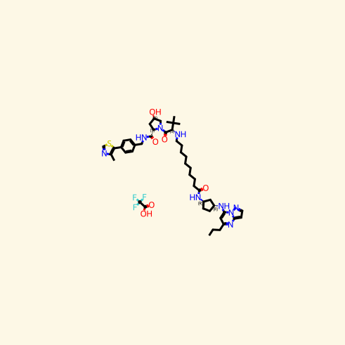 CCCc1cc(N[C@@H]2CC[C@@H](NC(=O)CCCCCCCCCN[C@H](C(=O)N3C[C@H](O)C[C@H]3C(=O)NCc3ccc(-c4scnc4C)cc3)C(C)(C)C)C2)n2nccc2n1.O=C(O)C(F)(F)F